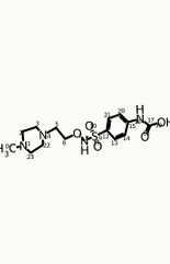 CN1CCN(CCONS(=O)(=O)c2ccc(NC(=O)O)cc2)CC1